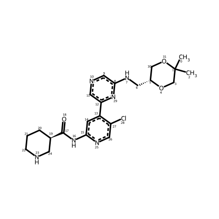 CC1(C)CO[C@H](CNc2cncc(-c3cc(NC(=O)[C@@H]4CCCNC4)ncc3Cl)n2)CO1